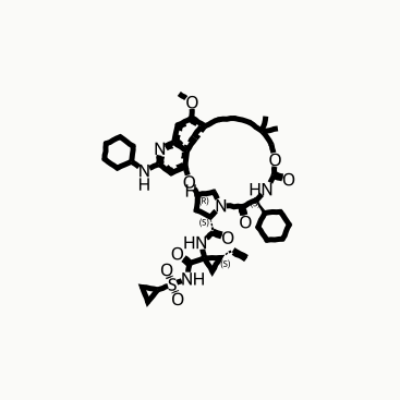 C=C[C@@H]1CC1(NC(=O)[C@@H]1C[C@@H]2CN1C(=O)[C@H](C1CCCCC1)NC(=O)OCC(C)(C)CCCc1cc3c(cc(NC4CCCCC4)nc3cc1OC)O2)C(=O)NS(=O)(=O)C1CC1